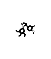 CCc1cc(-n2nncc2-c2ccc(OC)c(F)c2)cc(CC)c1CC